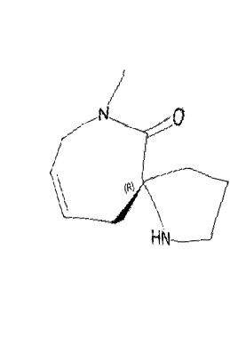 CN1CC=CC[C@]2(CCCN2)C1=O